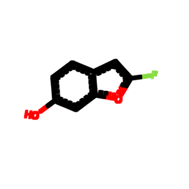 Oc1ccc2cc(F)oc2c1